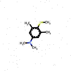 CSc1c(C)cc(N(C)C)cc1C